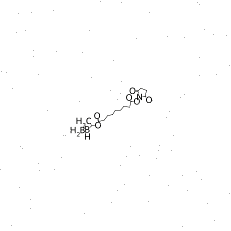 BBC(C)OC(=O)CCCCCCCC(=O)ON1C(=O)CCC1=O